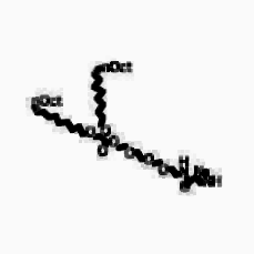 CCCCCCCC/C=C\CCCCCCCCOCC(OCCCCCCCC/C=C\CCCCCCCC)C(=O)OCCOCCOCCOCCNC(=O)c1c[nH]cn1